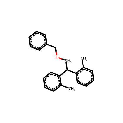 Cc1ccccc1C([SiH2]OCc1ccccc1)c1ccccc1C